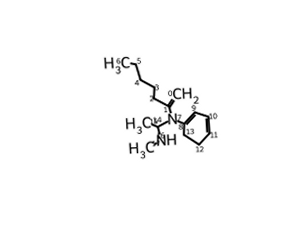 C=C(CCCCC)N(C1=CC=CCC1)C(C)NC